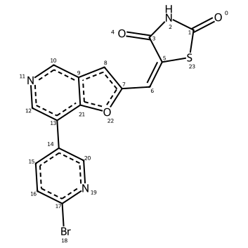 O=C1NC(=O)/C(=C\c2cc3cncc(-c4ccc(Br)nc4)c3o2)S1